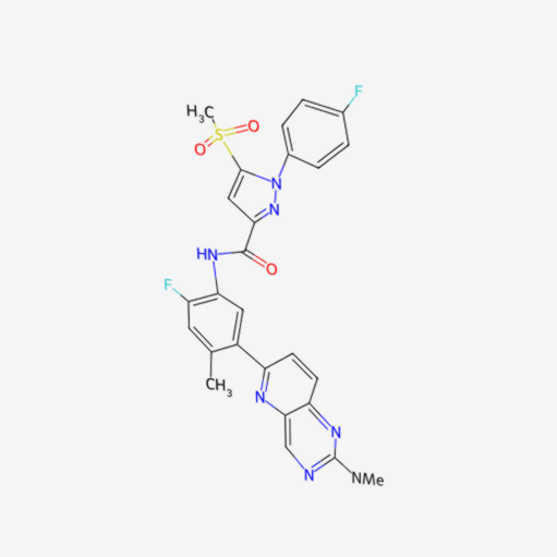 CNc1ncc2nc(-c3cc(NC(=O)c4cc(S(C)(=O)=O)n(-c5ccc(F)cc5)n4)c(F)cc3C)ccc2n1